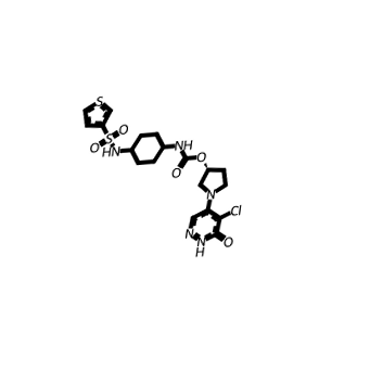 O=C(NC1CCC(NS(=O)(=O)c2ccsc2)CC1)O[C@@H]1CCN(c2cn[nH]c(=O)c2Cl)C1